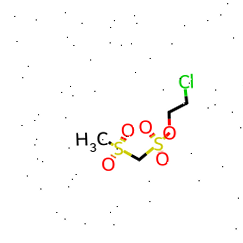 CS(=O)(=O)CS(=O)(=O)OCCCl